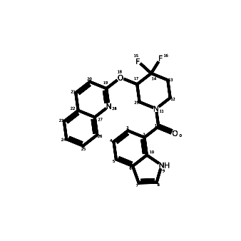 O=C(c1cccc2cc[nH]c12)N1CCC(F)(F)C(Oc2ccc3ccccc3n2)C1